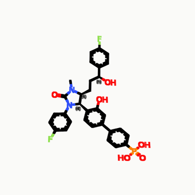 CN1C(=O)N(c2ccc(F)cc2)[C@H](c2ccc(-c3ccc(P(=O)(O)O)cc3)cc2O)[C@@H]1CC[C@H](O)c1ccc(F)cc1